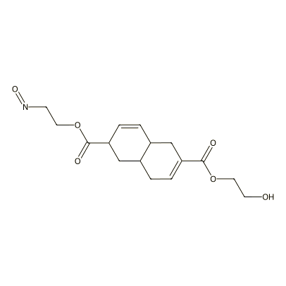 O=NCCOC(=O)C1C=CC2CC(C(=O)OCCO)=CCC2C1